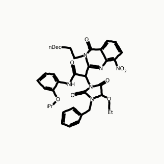 CCCCCCCCCCCCn1c(C(C(=O)Nc2ccccc2OC(C)C)N2C(=O)C(OCC)N(Cc3ccccc3)C2=O)nc2c([N+](=O)[O-])cccc2c1=O